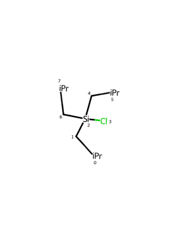 CC(C)C[Si](Cl)(CC(C)C)CC(C)C